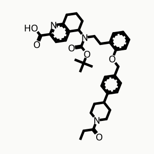 CCC(=O)N1CCC(c2ccc(COc3ccccc3CCN(C(=O)OC(C)(C)C)C3CCCc4nc(C(=O)O)ccc43)cc2)CC1